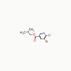 CC(C)COC(=O)c1cnc(Cl)c(Br)c1